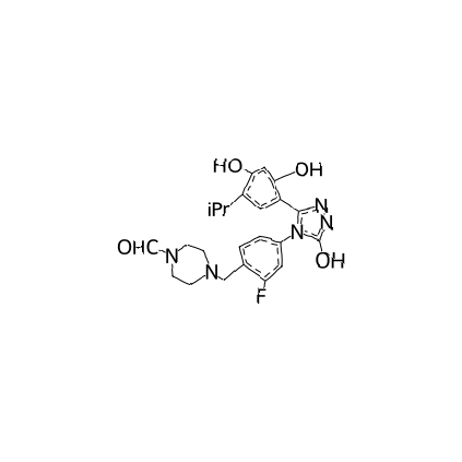 CC(C)c1cc(-c2nnc(O)n2-c2ccc(CN3CCN(C=O)CC3)c(F)c2)c(O)cc1O